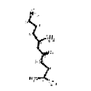 CC(N)CNC(=O)CC(N)CCCN